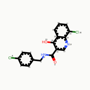 O=C(NCc1ccc(Cl)cc1)c1cnc2c(Cl)cccc2c1O